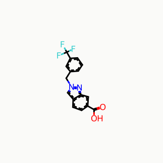 O=C(O)c1ccc2cn(Cc3cccc(C(F)(F)F)c3)nc2c1